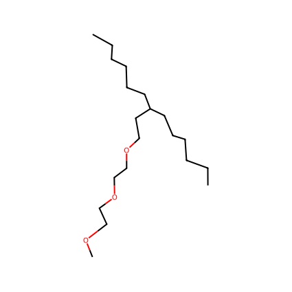 CCCCCCC(CCCCCC)CCOCCOCCOC